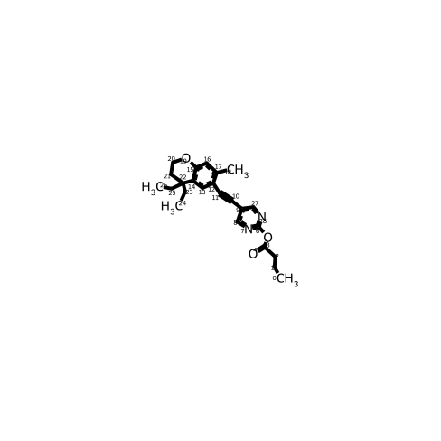 CCCC(=O)Oc1ncc(C#Cc2cc3c(cc2C)OCCC3(CC)CC)cn1